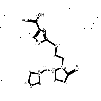 O=C(O)c1csc(SCCN2C(=O)CC[C@@H]2CN2CCCC2)n1